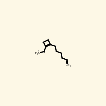 C=CCCCCC1=C(CC)CC1